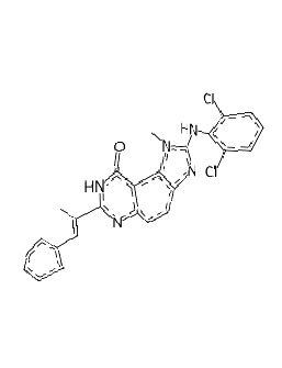 CC(=Cc1ccccc1)c1nc2ccc3nc(Nc4c(Cl)cccc4Cl)n(C)c3c2c(=O)[nH]1